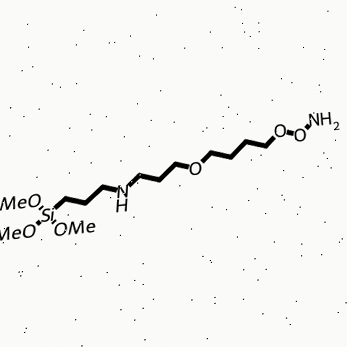 CO[Si](CCCNCCCOCCCCOON)(OC)OC